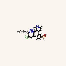 CCCCCCc1nc(-c2ccc(C)nc2)c(-c2ccc([S+](C)[O-])cc2)cc1Cl